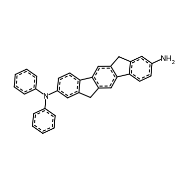 Nc1ccc2c(c1)Cc1cc3c(cc1-2)Cc1cc(N(c2ccccc2)c2ccccc2)ccc1-3